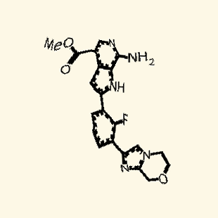 COC(=O)c1cnc(N)c2[nH]c(-c3cccc(-c4cn5c(n4)COCC5)c3F)cc12